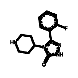 O=c1[nH]nc(-c2ccccc2F)n1C1CCNCC1